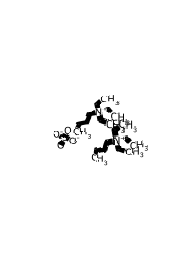 CCCC[N+](CC)(CC)CC.CCCC[N+](CC)(CC)CC.O=S(=O)([O-])[O-]